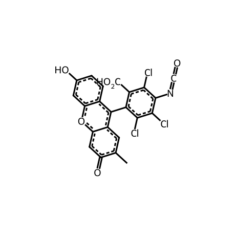 Cc1cc2c(-c3c(Cl)c(Cl)c(N=C=O)c(Cl)c3C(=O)O)c3ccc(O)cc3oc-2cc1=O